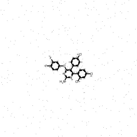 Nc1nc(Oc2ccc(F)c(F)c2)c(-c2ccc(Cl)cc2)c(-c2ccc(Cl)cc2Cl)n1